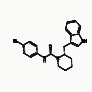 O=C(Nc1ccc(Cl)cc1)N1CCCCC1Cc1c[nH]c2ccccc12